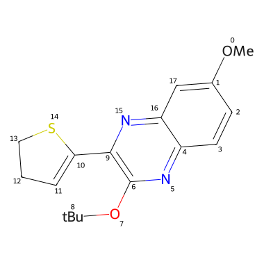 COc1ccc2nc(OC(C)(C)C)c(C3=CCCS3)nc2c1